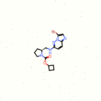 O=C(OC1CCC1)N1CCC[C@H]1CNc1ccc2ncc(Br)n2n1